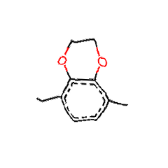 Cc1ccc(C)c2c1OCCO2